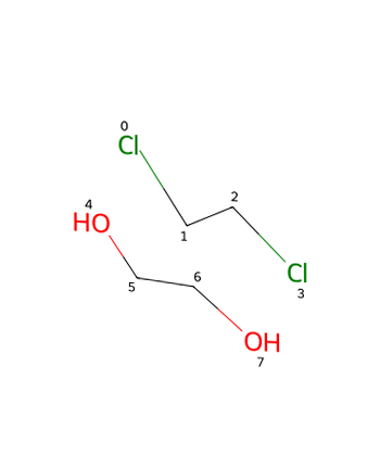 ClCCCl.OCCO